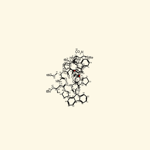 CSCC[C@H](NC(=O)[C@@H]1CCCN1C(=O)[C@H](CCSC)NC(=O)[C@@H]1CCCN1C(=O)[C@H](CCC(=O)OC(C)(C)C)NC(=O)[C@@H]1CCCN1C(=O)[C@@H](NC(=O)[C@H](COC(C)(C)C)NC(=O)[C@H](CC(C)C)NC(=O)[C@H](Cc1cn(C(=O)OC(C)(C)C)c2ccccc12)NC(=O)OCC1c2ccccc2-c2ccccc21)[C@@H](C)OC(C)(C)C)C(=O)O